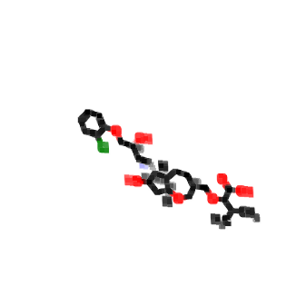 CC(C)C(OC[C@@H]1CC[C@@H]2[C@@H](/C=C/[C@@H](O)COc3ccccc3Cl)[C@H](O)C[C@@H]2OC1)C(=O)O